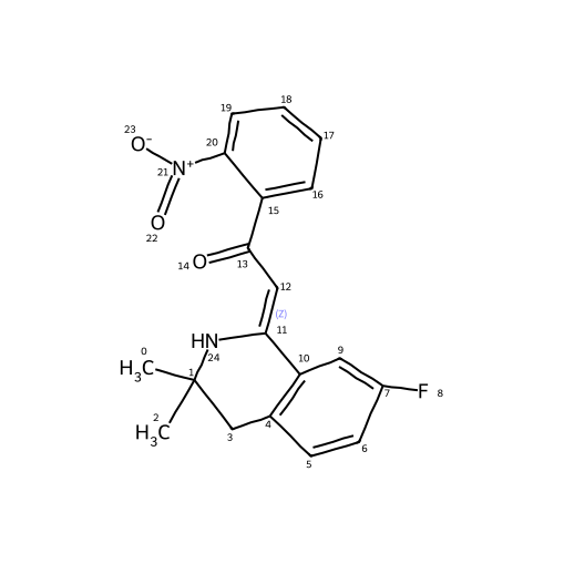 CC1(C)Cc2ccc(F)cc2/C(=C/C(=O)c2ccccc2[N+](=O)[O-])N1